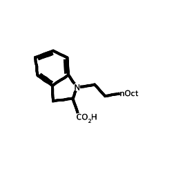 CCCCCCCCCCN1c2ccccc2CC1C(=O)O